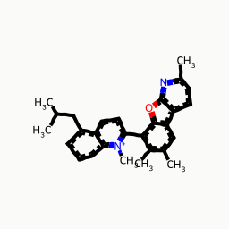 Cc1ccc2c(n1)oc1c(-c3ccc4c(CC(C)C)cccc4[n+]3C)c(C)c(C)cc12